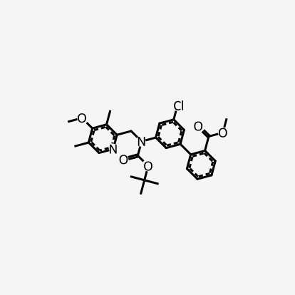 COC(=O)c1ccccc1-c1cc(Cl)cc(N(Cc2ncc(C)c(OC)c2C)C(=O)OC(C)(C)C)c1